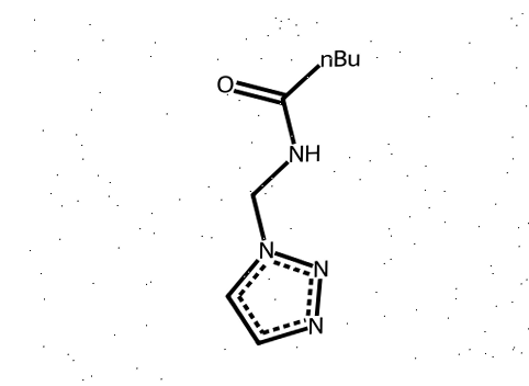 CCCCC(=O)NCn1ccnn1